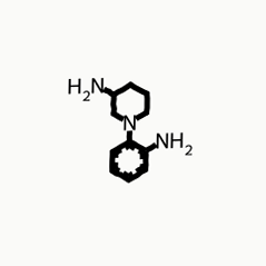 Nc1ccccc1N1CCCC(N)C1